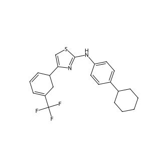 FC(F)(F)C1=CC=CC(c2csc(Nc3ccc(C4CCCCC4)cc3)n2)C1